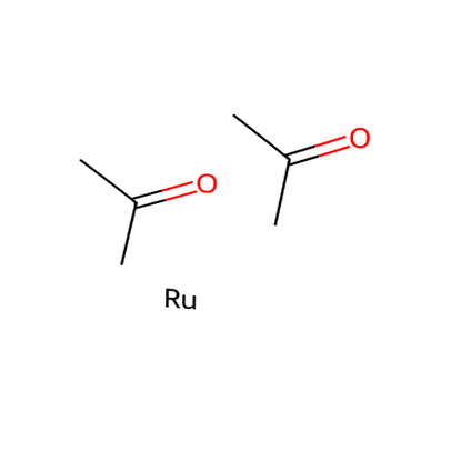 CC(C)=O.CC(C)=O.[Ru]